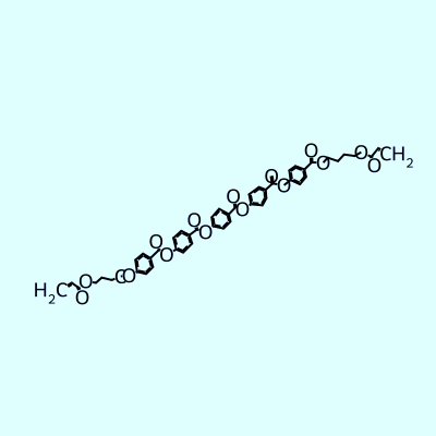 C=CC(=O)OCCCCOC(=O)c1ccc(OC(=O)c2ccc(OC(=O)c3ccc(OC(=O)c4ccc(OC(=O)c5ccc(OCCCCOC(=O)C=C)cc5)cc4)cc3)cc2)cc1